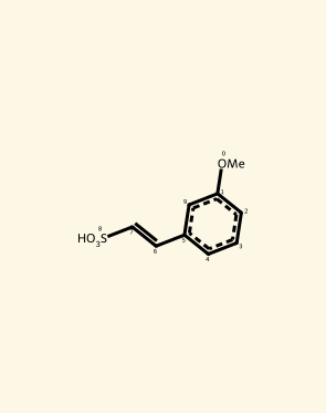 COc1cccc(C=CS(=O)(=O)O)c1